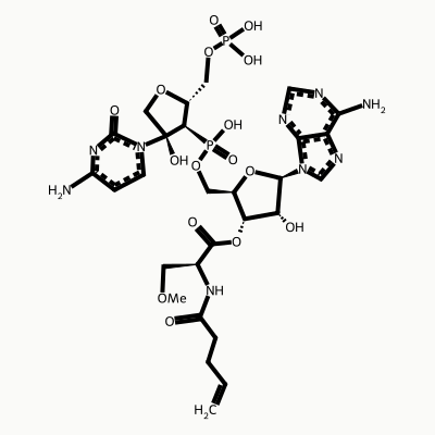 C=CCCC(=O)N[C@@H](COC)C(=O)O[C@H]1[C@@H](O)[C@H](n2cnc3c(N)ncnc32)O[C@@H]1COP(=O)(O)[C@@H]1[C@@H](COP(=O)(O)O)OC[C@@]1(O)n1ccc(N)nc1=O